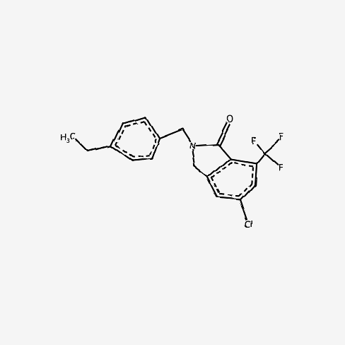 CCc1ccc(CN2Cc3cc(Cl)cc(C(F)(F)F)c3C2=O)cc1